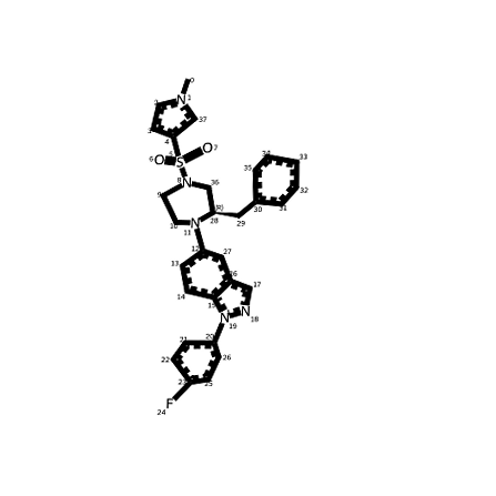 Cn1ccc(S(=O)(=O)N2CCN(c3ccc4c(cnn4-c4ccc(F)cc4)c3)[C@H](Cc3ccccc3)C2)c1